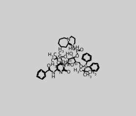 C1CCC2=NCCCN2CC1.CC(C)(C)[Si](C)(C)O[C@H]1[C@H](n2ccc(NC(=O)c3ccccc3)nc2=O)O[C@H](CO[Si](c2ccccc2)(c2ccccc2)C(C)(C)C)[C@]1(O)O[PH](=O)O